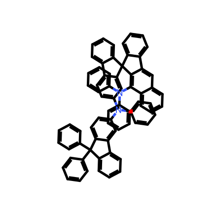 c1ccc(N(c2ccc3c(c2)-c2ccccc2C3(c2ccccc2)c2ccccc2)c2ccc3c(c2)C2(c4ccccc4-3)c3ccccc3-c3cc4ccccc4c(N(c4ccccc4)c4ccccc4)c32)cc1